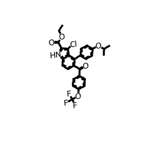 CCOC(=O)c1[nH]c2ccc(C(=O)c3ccc(OC(F)(F)F)cc3)c(-c3ccc(OC(C)C)cc3)c2c1Cl